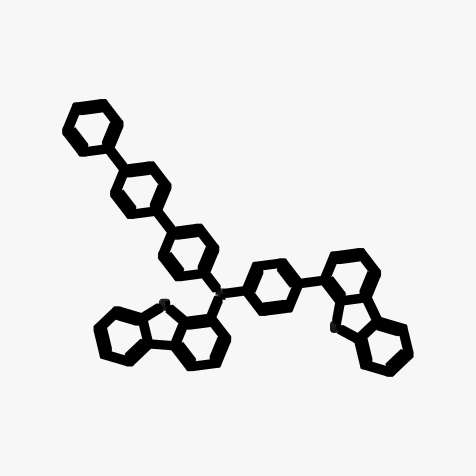 c1ccc(-c2ccc(-c3ccc(N(c4ccc(-c5cccc6c5oc5ccccc56)cc4)c4cccc5c4oc4ccccc45)cc3)cc2)cc1